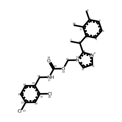 Cc1cccc(C(C)c2nccn2COC(=O)NCc2ccc(Cl)cc2Cl)c1C